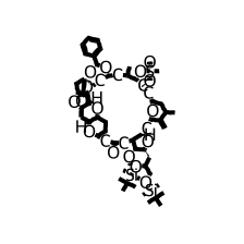 C=C1C(C)CC2CCC(OS(C)(=O)=O)C(C)C[C@@H](OC(=O)c3ccccc3)CC[C@@]34CC5OC6C(O3)[C@H]3OC(CCC3O[C@H]6[C@H]5O4)CC(=O)CC3[C@H](CC1O2)O[C@H](CC(CO[Si](C)(C)C(C)(C)C)O[Si](C)(C)C(C)(C)C)[C@@H]3OC